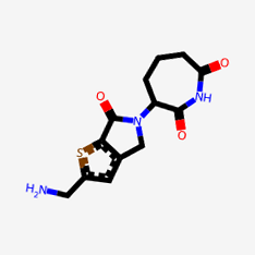 NCc1cc2c(s1)C(=O)N(C1CCCC(=O)NC1=O)C2